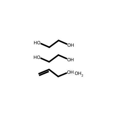 C=CCO.O.OCCO.OCCO